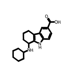 O=C(O)c1ccc2[nH]c3c(c2c1)CCCC3NC1CCCCC1